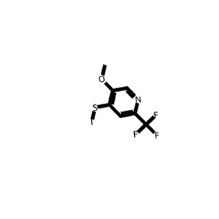 COc1cnc(C(F)(F)F)cc1SI